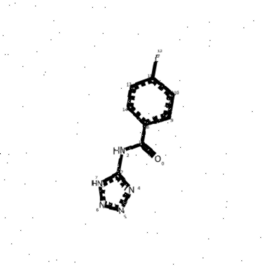 O=C(Nc1nnn[nH]1)c1ccc(F)cc1